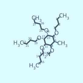 CCCCOC1[C@@H](C)C(ON)C(OCCCC)[C@H](OCCCC)[C@@H]1OCCCC